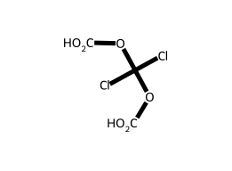 O=C(O)OC(Cl)(Cl)OC(=O)O